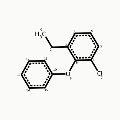 CCc1[c]ccc(Cl)c1Oc1ccccc1